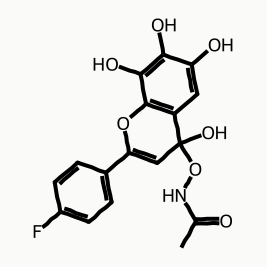 CC(=O)NOC1(O)C=C(c2ccc(F)cc2)Oc2c1cc(O)c(O)c2O